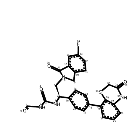 O=CNC(=O)N[C@@H](CN1Cc2ccc(F)cc2C1=O)c1ccc(-c2cccc3c2SCC(=O)N3)cc1